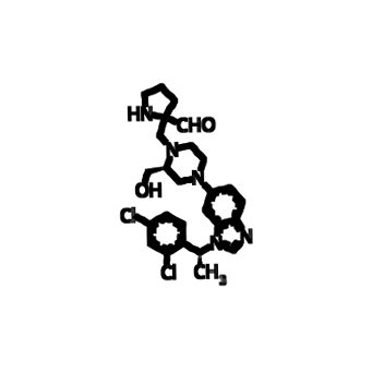 C[C@H](c1ccc(Cl)cc1Cl)n1cnc2ccc(N3CCN(CC4(C=O)CCCN4)[C@H](CO)C3)cc21